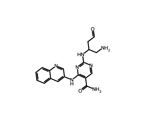 NCC(CC=O)Nc1ncc(C(N)=O)c(Nc2cnc3ccccc3c2)n1